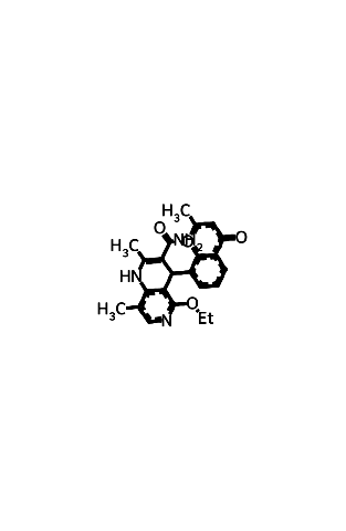 CCOc1ncc(C)c2c1C(c1cccc3c(=O)cc(C)oc13)C(C(N)=O)=C(C)N2